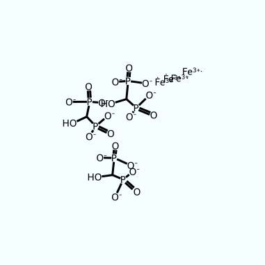 O=P([O-])([O-])C(O)P(=O)([O-])[O-].O=P([O-])([O-])C(O)P(=O)([O-])[O-].O=P([O-])([O-])C(O)P(=O)([O-])[O-].[Fe+3].[Fe+3].[Fe+3].[Fe+3]